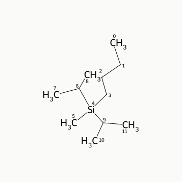 CCCC[Si](C)(C(C)C)C(C)C